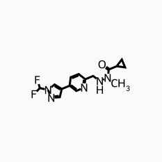 CN(NCc1ccc(-c2cnn(C(F)F)c2)cn1)C(=O)C1CC1